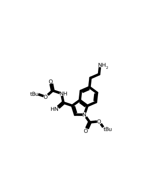 CC(C)(C)OC(=O)NC(=N)c1cn(C(=O)OC(C)(C)C)c2ccc(CCN)cc12